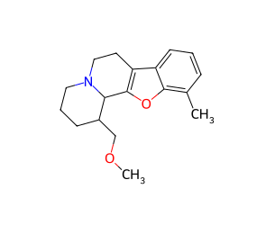 COCC1CCCN2CCc3c(oc4c(C)cccc34)C12